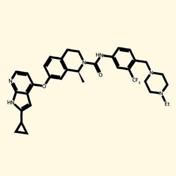 CCN1CCN(Cc2ccc(NC(=O)N3CCc4ccc(Oc5ccnc6[nH]c(C7CC7)cc56)cc4[C@@H]3C)cc2C(F)(F)F)CC1